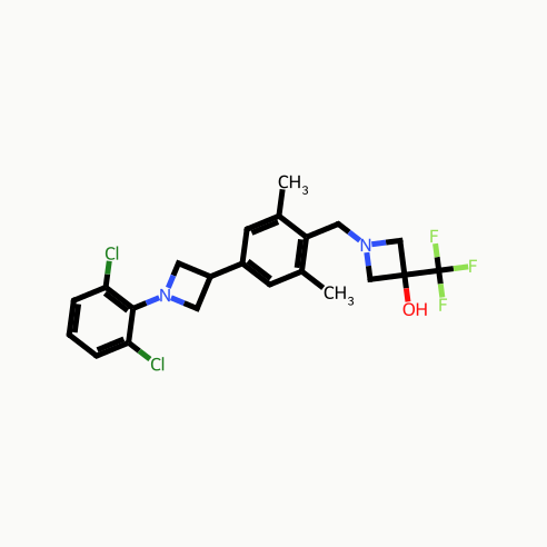 Cc1cc(C2CN(c3c(Cl)cccc3Cl)C2)cc(C)c1CN1CC(O)(C(F)(F)F)C1